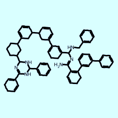 N/C(=N\C(NCc1ccccc1)C1=CC(C2=CC=CC(C3C=CC=C(C4CCCC(C5N=C(C6=CCCC=C6)NC(c6ccccc6)N5)C4)C3)C2)=CCC1)C1=C(c2cccc(-c3ccccc3)c2)CCC=C1